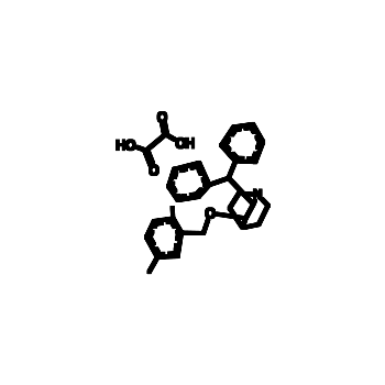 Cc1ccc(C)c(COC2C3CCN(CC3)C2C(c2ccccc2)c2ccccc2)c1.O=C(O)C(=O)O